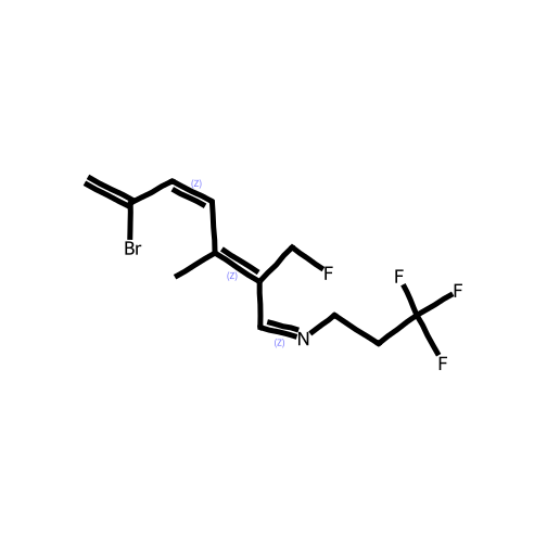 C=C(Br)\C=C/C(C)=C(/C=N\CCC(F)(F)F)CF